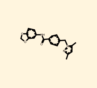 Cc1cc(C)n(Cc2ccc(C(=O)Nc3ccc4c(c3)OCO4)cc2)n1